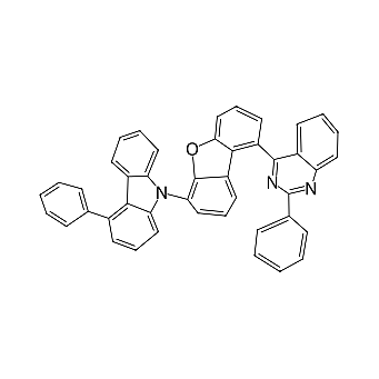 c1ccc(-c2nc(-c3cccc4oc5c(-n6c7ccccc7c7c(-c8ccccc8)cccc76)cccc5c34)c3ccccc3n2)cc1